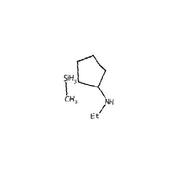 CCNC1CCCC1.C[SiH3]